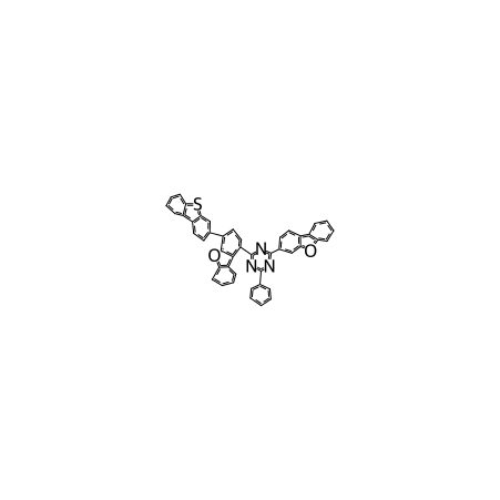 c1ccc(-c2nc(-c3ccc4c(c3)oc3ccccc34)nc(-c3ccc(-c4ccc5c(c4)sc4ccccc45)c4oc5ccccc5c34)n2)cc1